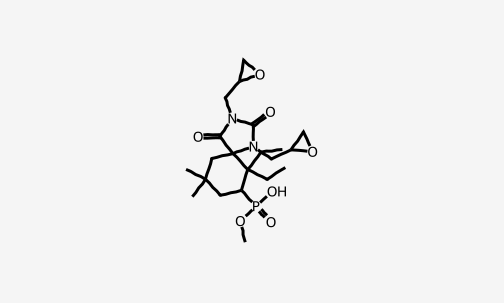 CCC1(CC)C(P(=O)(O)OC)CC(C)(C)CC12C(=O)N(CC1CO1)C(=O)N2CC1CO1